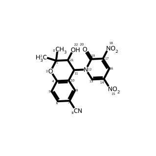 CC1(C)Oc2ccc(C#N)cc2C(n2cc([N+](=O)[O-])cc([N+](=O)[O-])c2=O)C1O